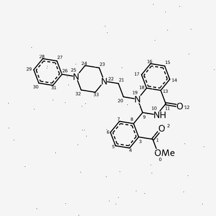 COC(=O)c1ccccc1C1NC(=O)c2ccccc2N1CCN1CCN(c2ccccc2)CC1